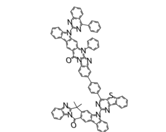 CC1(C)c2cc3c(cc2C(=O)n2c1nc1ccccc12)c1ccccc1n3-c1nc(-c2ccc(-c3ccc4c(c3)nc3n(-c5ccccc5)c5cc6c(cc5c(=O)n43)c3ccccc3n6-c3nc(-c4ccccc4)c4ccccc4n3)cc2)c2sc3ccccc3c2n1